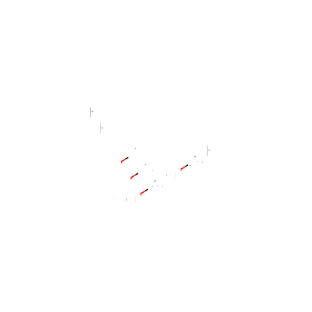 CC(=O)[O-].CC(=O)[O-].CC(=O)[O-].CC(=O)[O-].[K+].[K+].[K+].[K+]